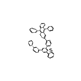 c1ccc(-c2cccc(-c3cc(-c4cccc(-c5ccc6c(-c7ccccc7)c7ccccc7c(-c7ccccc7)c6c5)c4)c4sc5ccccc5c4c3)c2)cc1